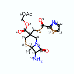 CC(=O)OCOC(=O)C1(CSC(=O)c2nccs2)CS[C@@H]2C(N)C(=O)N2C1